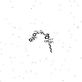 CCCCCCNC(=O)Nc1ccc2c(ccn2CCC(C)(C)NC[C@H](O)c2cccc(NS(=O)(=O)c3ccccc3)c2)c1